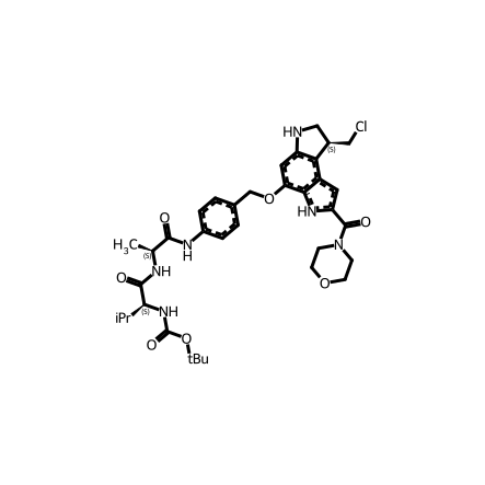 CC(C)[C@H](NC(=O)OC(C)(C)C)C(=O)N[C@@H](C)C(=O)Nc1ccc(COc2cc3c(c4cc(C(=O)N5CCOCC5)[nH]c24)[C@H](CCl)CN3)cc1